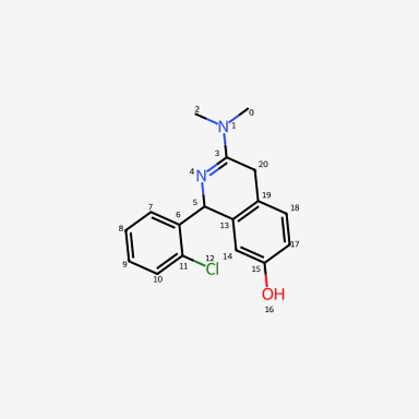 CN(C)C1=NC(c2ccccc2Cl)c2cc(O)ccc2C1